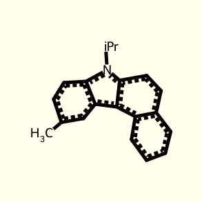 Cc1ccc2c(c1)c1c3ccccc3ccc1n2C(C)C